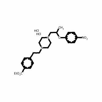 CCOC(=O)c1ccc(CCN2CCN(CC(C)Oc3ccc([N+](=O)[O-])cc3)CC2)cc1.Cl.Cl